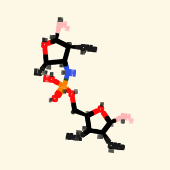 B[C@@H]1O[C@H](COP(=O)(O)NC2[C@@H](CC)O[C@@H](B)[C@H]2OC)C(NC)[C@@H]1OC